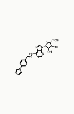 OC[C@H]1O[C@@H](n2cnc3c(N/N=C/c4ccc(-n5ccnc5)cc4)ncnc32)[C@H](O)[C@@H]1O